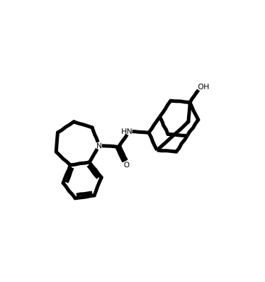 O=C(NC1C2CC3CC1CC(O)(C3)C2)N1CCCCc2ccccc21